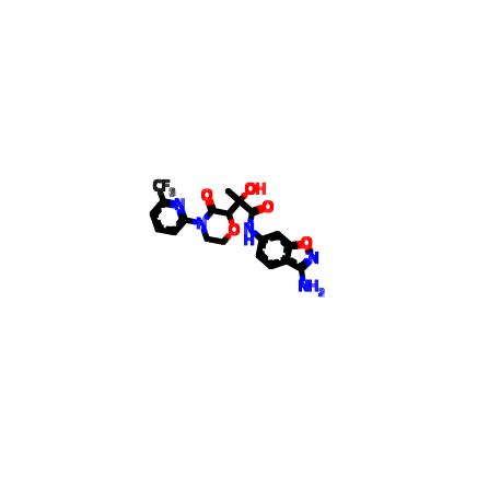 CC(O)(C(=O)Nc1ccc2c(N)noc2c1)C1OCCN(c2cccc(C(F)(F)F)n2)C1=O